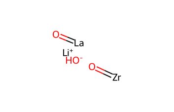 [Li+].[OH-].[O]=[La].[O]=[Zr]